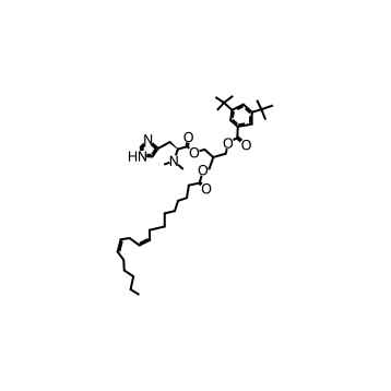 CCCCC/C=C\C/C=C\CCCCCCCC(=O)OCC(COC(=O)c1cc(C(C)(C)C)cc(C(C)(C)C)c1)COC(=O)[C@H](Cc1c[nH]cn1)N(C)C